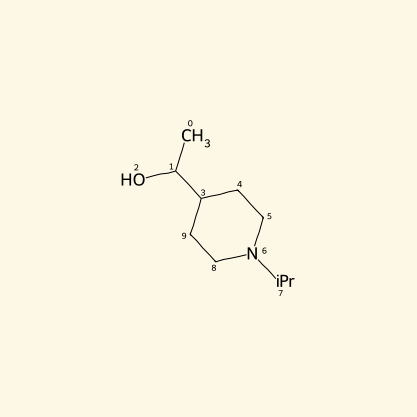 CC(O)C1CCN(C(C)C)CC1